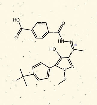 CCn1nc(/C(C)=N\NC(=O)c2ccc(C(=O)O)cc2)c(O)c1-c1ccc(C(C)(C)C)cc1